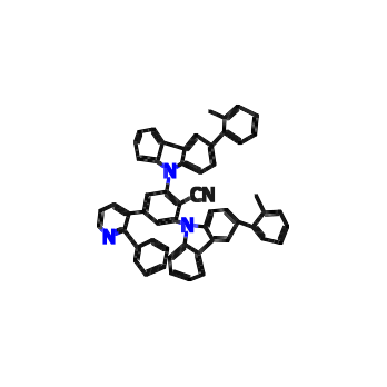 Cc1ccccc1-c1ccc2c(c1)c1ccccc1n2-c1cc(-c2cccnc2-c2ccccc2)cc(-n2c3ccccc3c3cc(-c4ccccc4C)ccc32)c1C#N